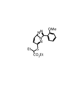 CCOC(=O)C(CC)Sc1ccc2nnc(-c3ccccc3OC)n2n1